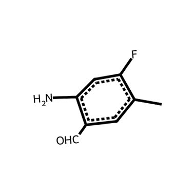 Cc1cc(C=O)c(N)cc1F